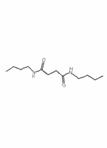 CCCCNC(=O)CCC(=O)NCCCC